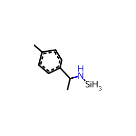 Cc1ccc(C(C)N[SiH3])cc1